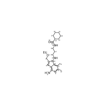 CCOCc1nc2c(N)nc(C)c(C)c2n1NCCCNC(=O)C1CCCCC1